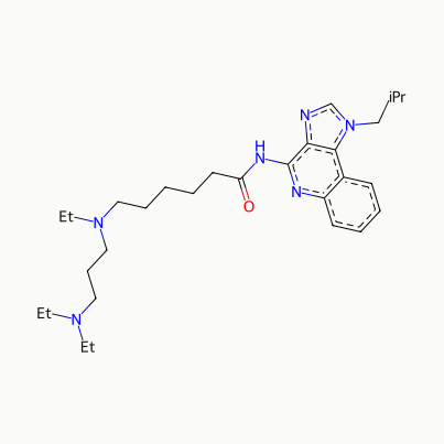 CCN(CC)CCCN(CC)CCCCCC(=O)Nc1nc2ccccc2c2c1ncn2CC(C)C